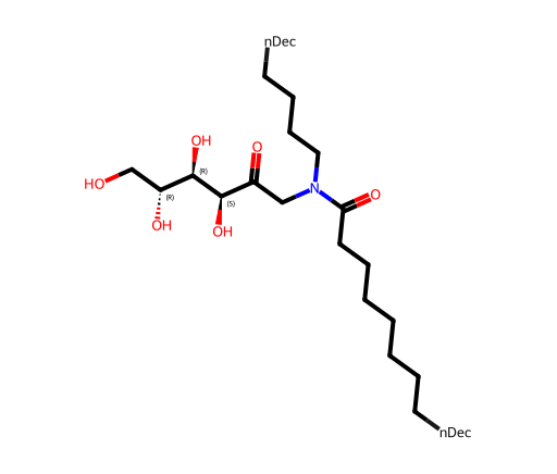 CCCCCCCCCCCCCCCCCC(=O)N(CCCCCCCCCCCCCC)CC(=O)[C@@H](O)[C@H](O)[C@H](O)CO